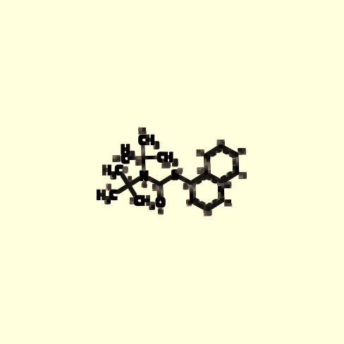 CC(C)(C)N(C(=O)Sc1cccc2ccccc12)C(C)(C)C